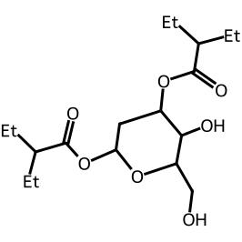 CCC(CC)C(=O)OC1CC(OC(=O)C(CC)CC)C(O)C(CO)O1